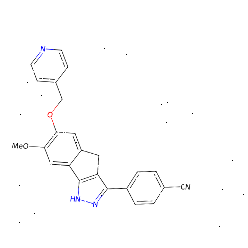 COc1cc2c(cc1OCc1ccncc1)Cc1c(-c3ccc(C#N)cc3)n[nH]c1-2